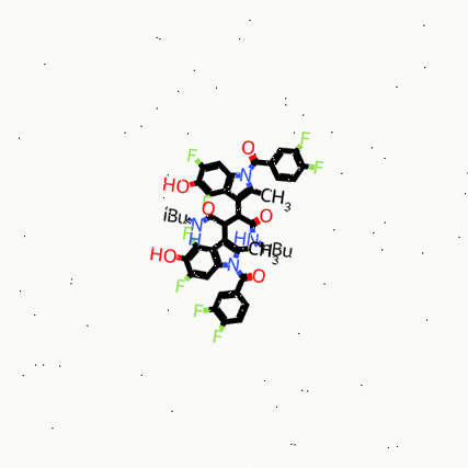 CCCCNC(=O)C(c1c(C)n(C(=O)c2ccc(F)c(F)c2)c2cc(F)c(O)c(F)c12)C(C(=O)NC(C)CC)c1c(C)n(C(=O)c2ccc(F)c(F)c2)c2cc(F)c(O)c(F)c12